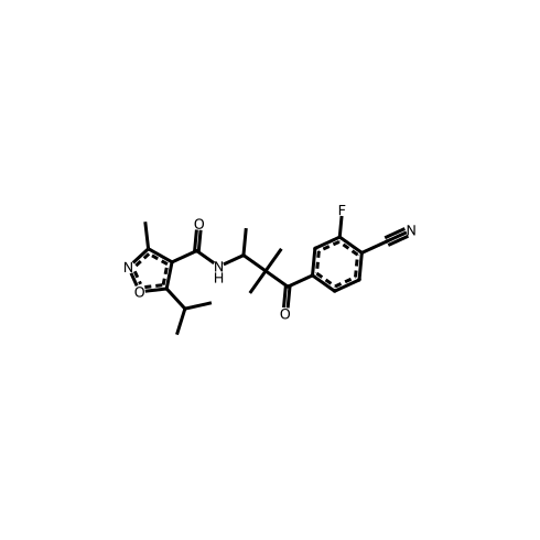 Cc1noc(C(C)C)c1C(=O)NC(C)C(C)(C)C(=O)c1ccc(C#N)c(F)c1